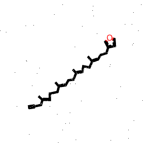 C#CC/C(C)=C/CC/C(C)=C/CC/C(C)=C/CC/C(C)=C/CCc1ccoc1